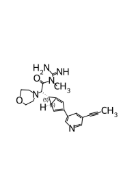 CC#Cc1cncc(C2=C[C@@H]3C(=C2)[C@H]3C(C(=O)N(C)C(=N)N)N2CCOCC2)c1